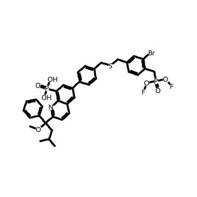 COC(CC(C)C)(c1ccccc1)c1ccc2cc(-c3ccc(CSCc4ccc(CP(=O)(OF)OF)c(Br)c4)cc3)cc(P(=O)(O)O)c2n1